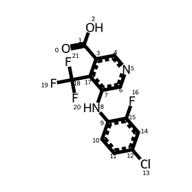 O=C(O)c1cncc(Nc2ccc(Cl)cc2F)c1C(F)(F)F